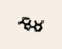 COC(=O)c1cnn(-c2nccc(Cl)c2C)c1C